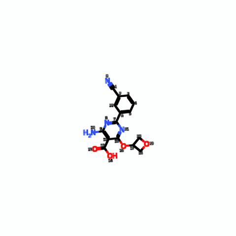 N#Cc1cccc(-c2nc(N)c(C(=O)O)c(OC3COC3)n2)c1